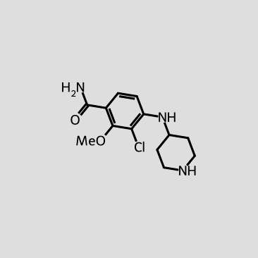 COc1c(C(N)=O)ccc(NC2CCNCC2)c1Cl